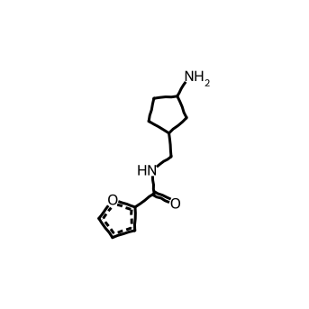 NC1CCC(CNC(=O)c2ccco2)C1